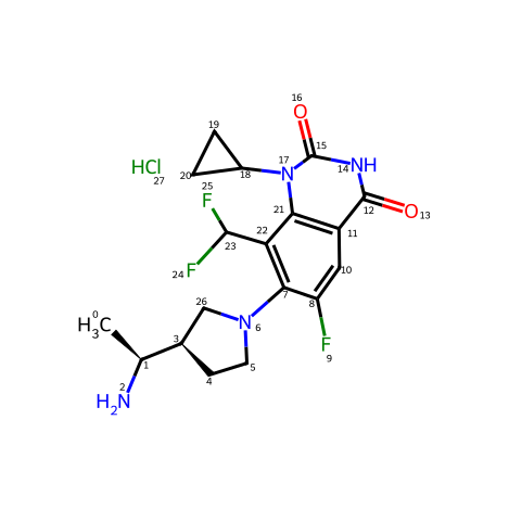 C[C@H](N)[C@@H]1CCN(c2c(F)cc3c(=O)[nH]c(=O)n(C4CC4)c3c2C(F)F)C1.Cl